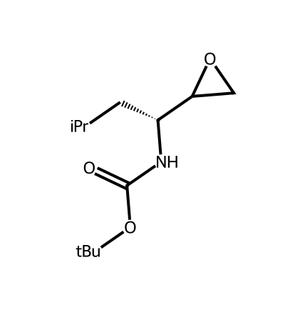 CC(C)C[C@@H](NC(=O)OC(C)(C)C)C1CO1